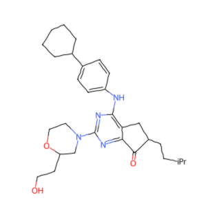 CC(C)CCC1Cc2c(Nc3ccc(C4CCCCC4)cc3)nc(N3CCOC(CCO)C3)nc2C1=O